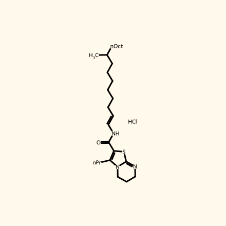 CCCCCCCCC(C)CCCCCCC=CNC(=O)C1=C(CCC)N2CCCN=C2S1.Cl